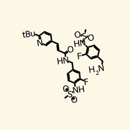 CC(C)(C)c1ccc(C=CC(=O)NCc2ccc(NS(C)(=O)=O)c(F)c2)cn1.CS(=O)(=O)Nc1ccc(CN)cc1F